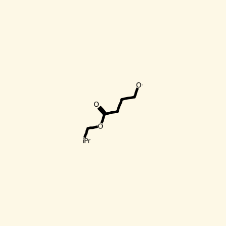 CC(C)COC(=O)CCC[O]